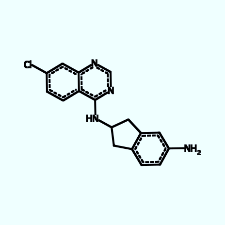 Nc1ccc2c(c1)CC(Nc1ncnc3cc(Cl)ccc13)C2